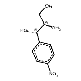 N[C@H](CO)[C@@H](O)c1ccc([N+](=O)[O-])cc1